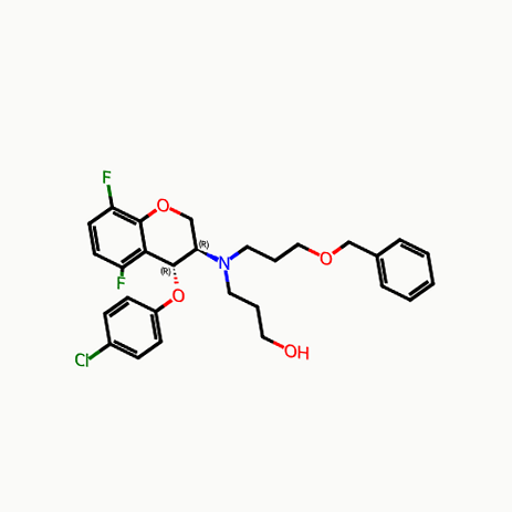 OCCCN(CCCOCc1ccccc1)[C@@H]1COc2c(F)ccc(F)c2[C@H]1Oc1ccc(Cl)cc1